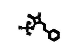 CC(C)[Si](O[C@@H]1C(=O)NC1C=Cc1ccccc1)(C(C)C)C(C)C